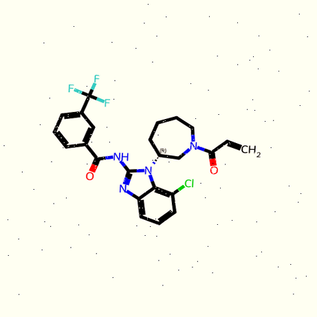 C=CC(=O)N1CCCC[C@@H](n2c(NC(=O)c3cccc(C(F)(F)F)c3)nc3cccc(Cl)c32)C1